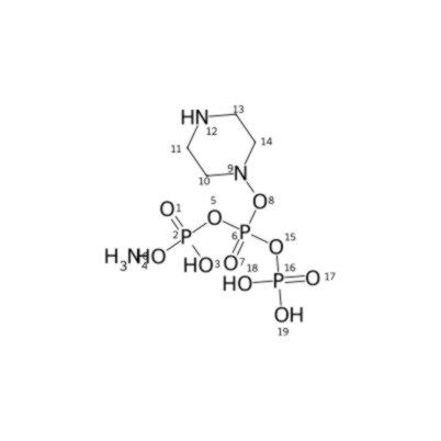 N.O=P(O)(O)OP(=O)(ON1CCNCC1)OP(=O)(O)O